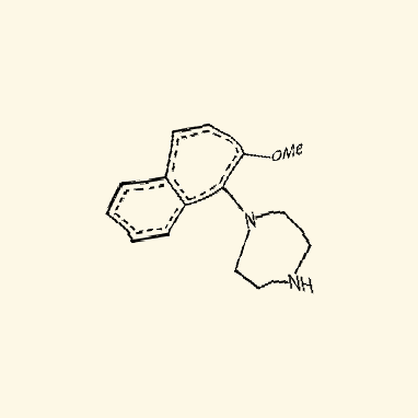 COc1ccc2ccccc2c1N1CCNCC1